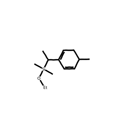 CCO[Si](C)(C)C(C)C1=CCC(C)C=C1